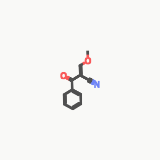 CO/C=C(\C#N)C(=O)c1ccccc1